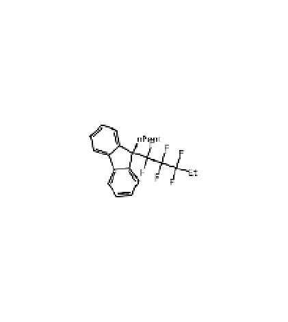 CCCCCC1(C(F)(F)C(F)(F)C(F)(F)CC)c2ccccc2-c2ccccc21